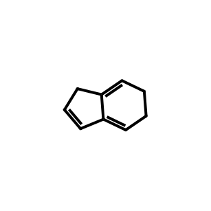 C1=CC2=CCCC=C2C1